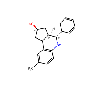 O[C@@H]1CC2c3cc(C(F)(F)F)ccc3N[C@@H](C3C=CC=CC3)[C@@H]2C1